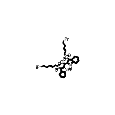 CC(C)CCC=CCS(=O)(=O)c1c(C(=O)c2[nH]c3ccccc3c2S(=O)(=O)CC=CCCC(C)C)[nH]c2ccccc12